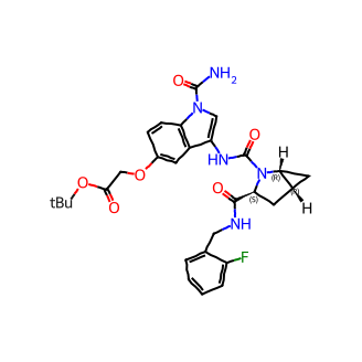 CC(C)(C)OC(=O)COc1ccc2c(c1)c(NC(=O)N1[C@@H]3C[C@@H]3C[C@H]1C(=O)NCc1ccccc1F)cn2C(N)=O